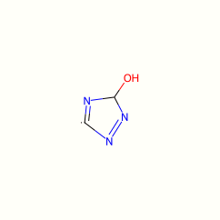 OC1N=[C]N=N1